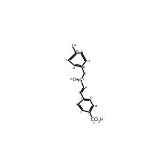 O=C(O)c1ccc(C=C[S+]([O-])Cc2ccc(I)cc2)cc1